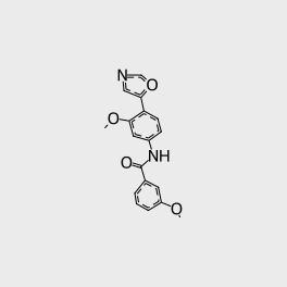 COc1cccc(C(=O)Nc2ccc(-c3cnco3)c(OC)c2)c1